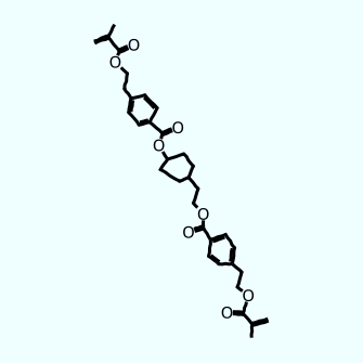 C=C(C)C(=O)OCCc1ccc(C(=O)OCCC2CCC(OC(=O)c3ccc(CCOC(=O)C(=C)C)cc3)CC2)cc1